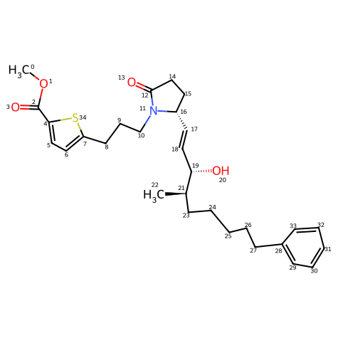 COC(=O)c1ccc(CCCN2C(=O)CC[C@@H]2C=C[C@H](O)[C@H](C)CCCCCc2ccccc2)s1